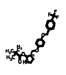 CC(C)(C)C(=O)OC1NCC[C@@H]1COc1ccc(OCc2ccc(C(F)(F)F)cc2)cc1